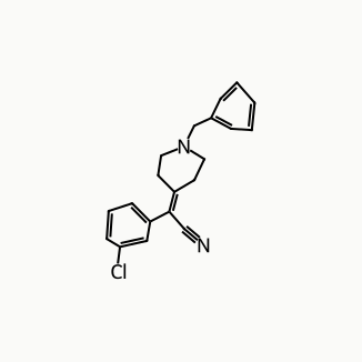 N#CC(=C1CCN(Cc2ccccc2)CC1)c1cccc(Cl)c1